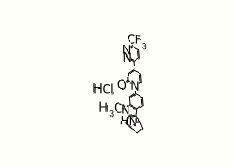 Cl.Cn1c2c(c3ccc(-n4ccc(-c5ccc(C(F)(F)F)nn5)cc4=O)cc31)C1CCC(C2)N1